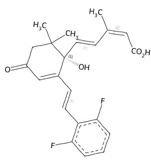 CC(=C/C(=O)O)/C=C/[C@@]1(O)C(/C=C/c2c(F)cccc2F)=CC(=O)CC1(C)C